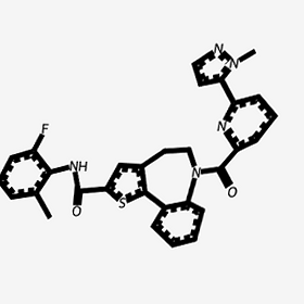 Cc1cccc(F)c1NC(=O)c1cc2c(s1)-c1ccccc1N(C(=O)c1cccc(-c3ccnn3C)n1)CC2